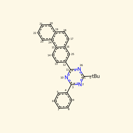 CC(C)(C)c1nc(-c2ccccc2)nc(-c2ccc3c(ccc4ccccc43)c2)n1